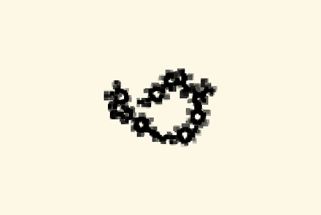 O=C1CCC(N2C[C@@H](c3ccc(C#CCCOC4CCN(C[C@H]5CC[C@H](n6cc(NC(=O)c7cnn8ccc(N9CCC(O)CC9)nc78)c(C(F)F)n6)CC5)CC4)cc3)OC2=O)C(=O)N1